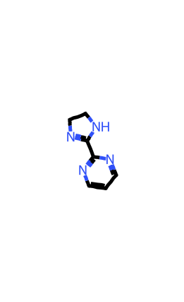 c1cnc(C2=NCCN2)nc1